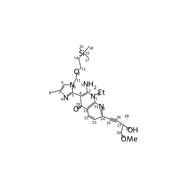 CCn1c(N)c(-c2nc(C)cn2COCC[Si](C)(C)C)c(=O)c2ccc(C#C[C@@](C)(O)COC)nc21